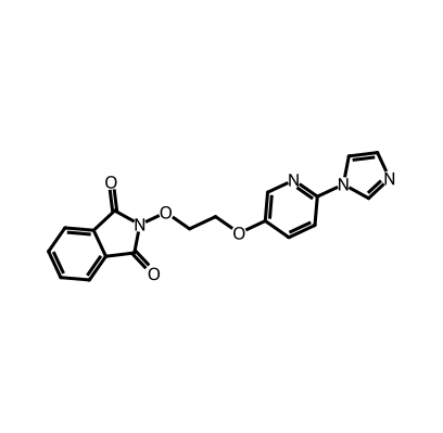 O=C1c2ccccc2C(=O)N1OCCOc1ccc(-n2ccnc2)nc1